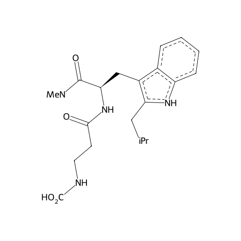 CNC(=O)[C@@H](Cc1c(CC(C)C)[nH]c2ccccc12)NC(=O)CCNC(=O)O